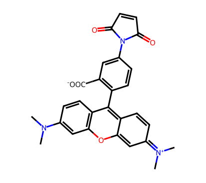 CN(C)c1ccc2c(-c3ccc(N4C(=O)C=CC4=O)cc3C(=O)[O-])c3ccc(=[N+](C)C)cc-3oc2c1